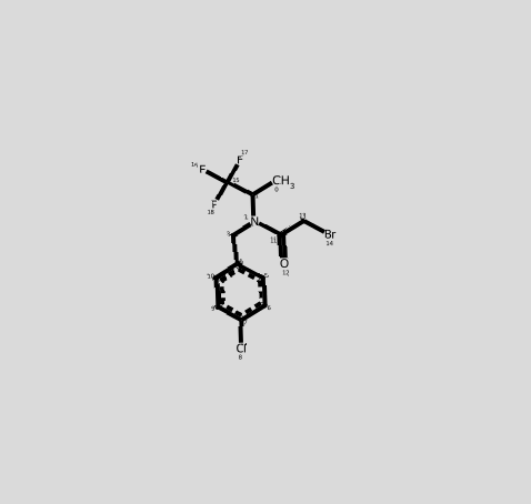 CC(N(Cc1ccc(Cl)cc1)C(=O)CBr)C(F)(F)F